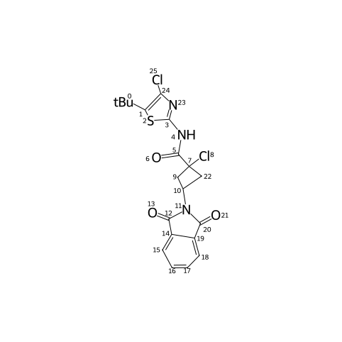 CC(C)(C)c1sc(NC(=O)C2(Cl)CC(N3C(=O)c4ccccc4C3=O)C2)nc1Cl